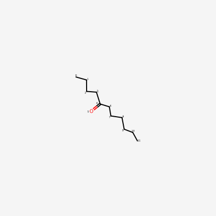 CCC[CH]C(=O)CCCCCC